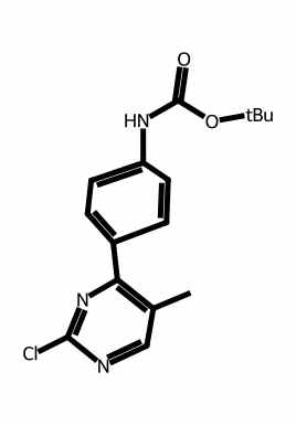 Cc1cnc(Cl)nc1-c1ccc(NC(=O)OC(C)(C)C)cc1